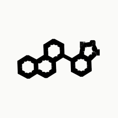 c1ccc2c(c1)ccc1c(-c3cccc4nonc34)cccc12